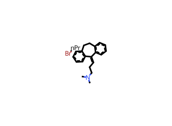 CCCBr.CN(C)CCC=C1c2ccccc2CCc2ccccc21